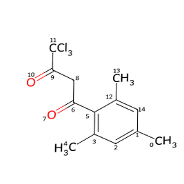 Cc1cc(C)c(C(=O)CC(=O)C(Cl)(Cl)Cl)c(C)c1